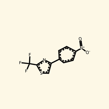 O=[N+]([O-])c1ccc(-c2csc(C(F)(F)F)n2)cc1